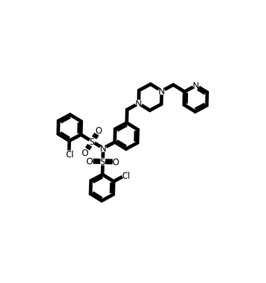 O=S(=O)(c1ccccc1Cl)N(c1cccc(CN2CCN(Cc3ccccn3)CC2)c1)S(=O)(=O)c1ccccc1Cl